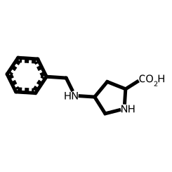 O=C(O)C1CC(NCc2ccccc2)CN1